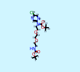 CC(C)(C)OC(=O)NCCOCCOCCN(C(=O)OC(C)(C)C)c1cnc(Cl)cn1